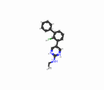 CC(C)CNc1ncc(-c2cccc(-c3ccccc3)c2F)cn1